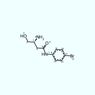 N[C@H](CO)CC(=O)Nc1ccc(Br)cc1